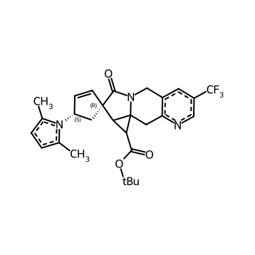 Cc1ccc(C)n1[C@@H]1C=C[C@@]2(C1)C(=O)N1Cc3cc(C(F)(F)F)cnc3CC13C(C(=O)OC(C)(C)C)C32